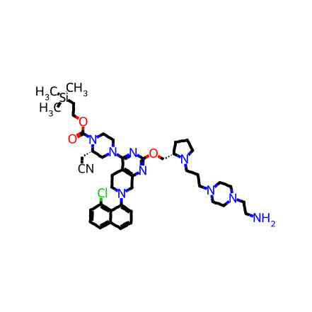 C[Si](C)(C)CCOC(=O)N1CCN(c2nc(OC[C@@H]3CCCN3CCCN3CCN(CCN)CC3)nc3c2CCN(c2cccc4cccc(Cl)c24)C3)C[C@@H]1CC#N